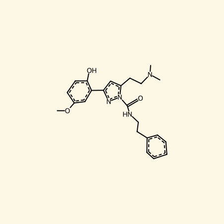 COc1ccc(O)c(-c2cc(CCN(C)C)n(C(=O)NCCc3ccccc3)n2)c1